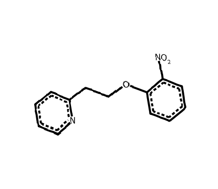 O=[N+]([O-])c1ccccc1OCCc1ccccn1